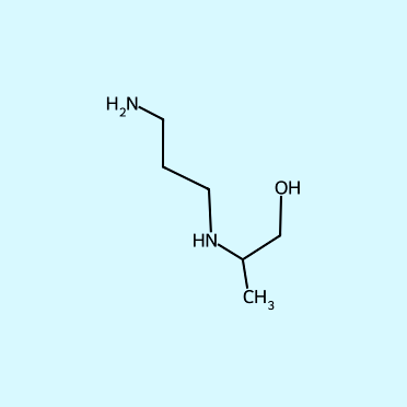 CC(CO)NCCCN